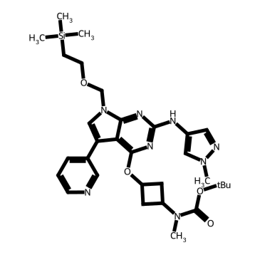 CN(C(=O)OC(C)(C)C)C1CC(Oc2nc(Nc3cnn(C)c3)nc3c2c(-c2cccnc2)cn3COCC[Si](C)(C)C)C1